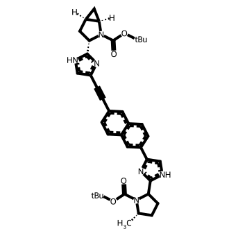 C[C@H]1CCC(c2nc(-c3ccc4cc(C#Cc5c[nH]c([C@@H]6C[C@H]7C[C@H]7N6C(=O)OC(C)(C)C)n5)ccc4c3)c[nH]2)N1C(=O)OC(C)(C)C